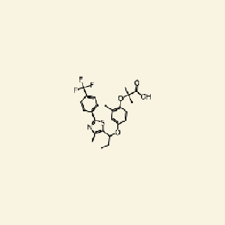 CCC(Oc1ccc(OC(C)(C)C(=O)O)c(C)c1)c1sc(-c2ccc(C(F)(F)F)cc2)nc1C